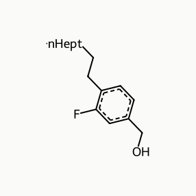 CCCCCC[CH]CCc1ccc(CO)cc1F